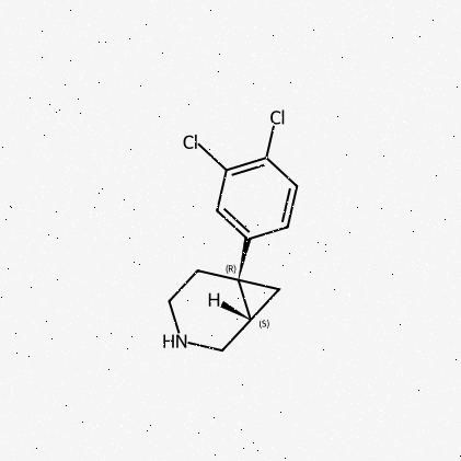 Clc1ccc([C@]23CCNC[C@H]2C3)cc1Cl